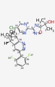 CC(C)(O)c1nc(-c2ncc(Cl)c([C@]34CC[C@@H](c5cc(-c6c(F)cccc6F)nnc53)C4(C)C)n2)no1